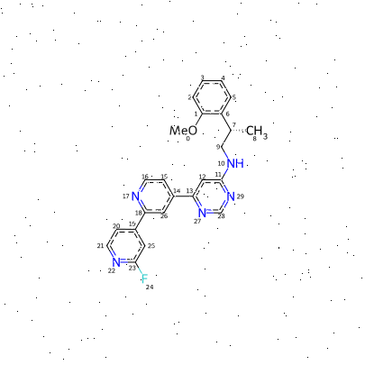 COc1ccccc1[C@H](C)CNc1cc(-c2ccnc(-c3ccnc(F)c3)c2)ncn1